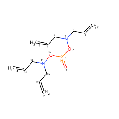 C=CCN(CC=C)O[PH](=O)ON(CC=C)CC=C